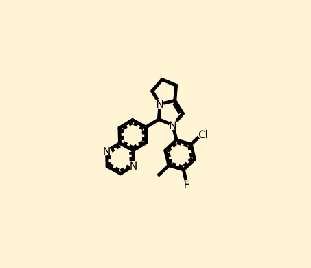 Cc1cc(N2C=C3CCCN3C2c2ccc3nccnc3c2)c(Cl)cc1F